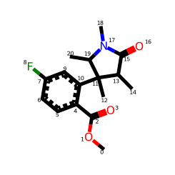 COC(=O)c1ccc(F)cc1C1(C)C(C)C(=O)N(C)C1C